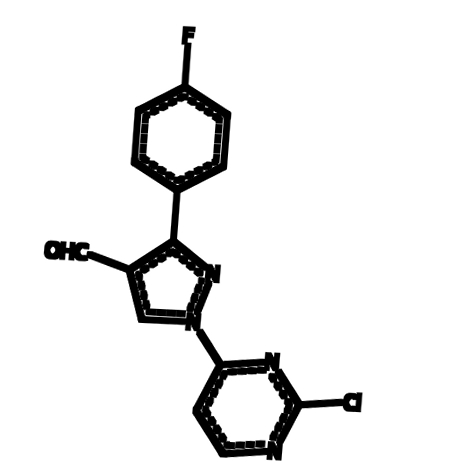 O=Cc1cn(-c2ccnc(Cl)n2)nc1-c1ccc(F)cc1